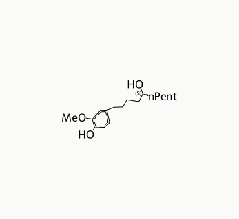 CCCCC[C@H](O)CCCCc1ccc(O)c(OC)c1